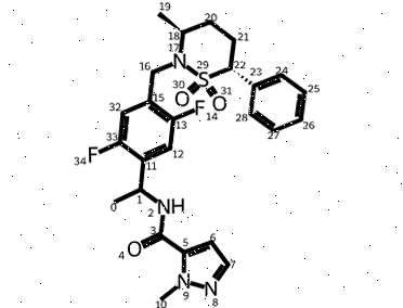 CC(NC(=O)c1ccnn1C)c1cc(F)c(CN2[C@@H](C)CC[C@H](c3ccccc3)S2(=O)=O)cc1F